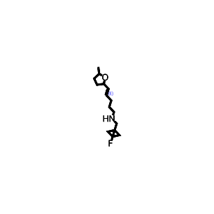 CC1CCC(/C=C/CCCNCC23CC2(F)C3)O1